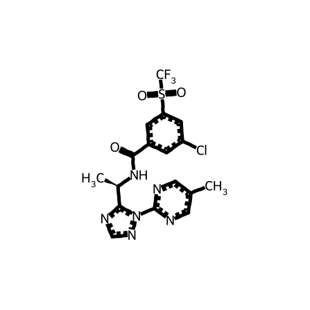 Cc1cnc(-n2ncnc2[C@@H](C)NC(=O)c2cc(Cl)cc(S(=O)(=O)C(F)(F)F)c2)nc1